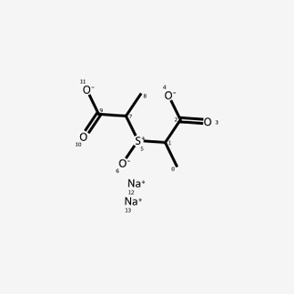 CC(C(=O)[O-])[S+]([O-])C(C)C(=O)[O-].[Na+].[Na+]